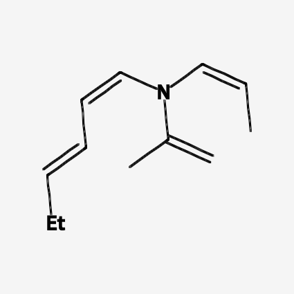 C=C(C)N(/C=C\C)/C=C\C=C\CC